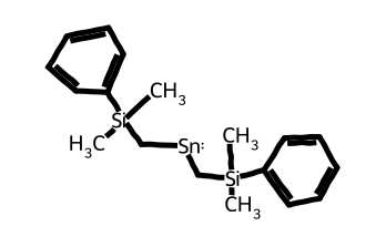 C[Si](C)([CH2][Sn][CH2][Si](C)(C)c1ccccc1)c1ccccc1